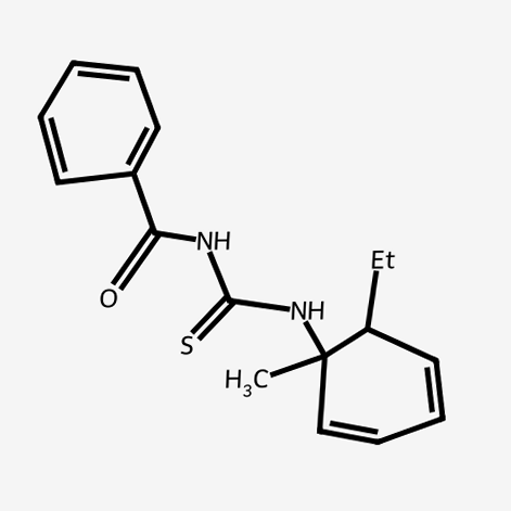 CCC1C=CC=CC1(C)NC(=S)NC(=O)c1ccccc1